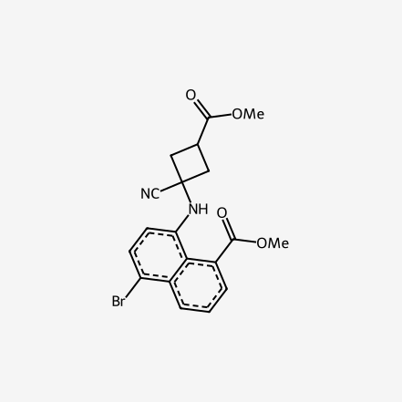 COC(=O)c1cccc2c(Br)ccc(NC3(C#N)CC(C(=O)OC)C3)c12